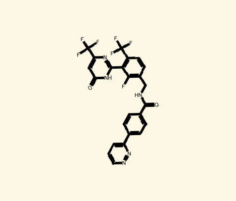 O=C(NCc1ccc(C(F)(F)F)c(-c2nc(C(F)(F)F)cc(=O)[nH]2)c1F)c1ccc(-c2cccnn2)cc1